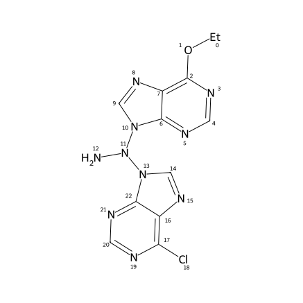 CCOc1ncnc2c1ncn2N(N)n1cnc2c(Cl)ncnc21